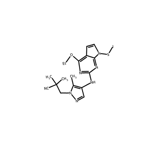 CCOc1nc(Nc2cnn(CC(C)(C)C#N)c2C)nc2c1ccn2SI